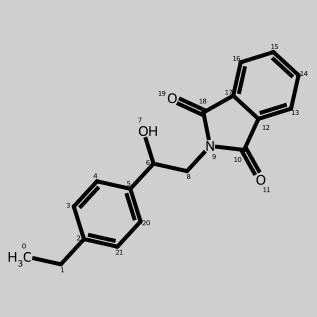 CCc1ccc(C(O)CN2C(=O)c3ccccc3C2=O)cc1